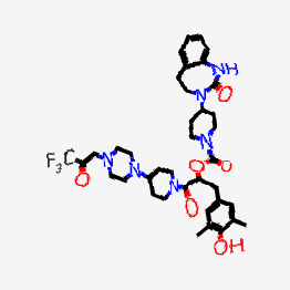 Cc1cc(CC(OC(=O)N2CCC(N3CCc4ccccc4NC3=O)CC2)C(=O)N2CCC(N3CCN(CC(=O)C(F)(F)F)CC3)CC2)cc(C)c1O